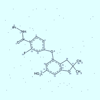 CC(C)NC(=O)c1ccc(Oc2cc(C(=O)O)cc3c2CC(C)(C)O3)cc1F